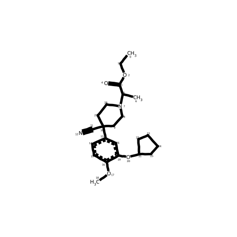 CCOC(=O)C(C)N1CCC(C#N)(c2ccc(OC)c(OC3CCCC3)c2)CC1